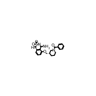 NC1=NS(=O)(=O)Nc2cccc(OC[C@H]3CCCN(C(=O)c4ccccc4)C3)c21